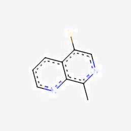 Cc1ncc(Br)c2cccnc12